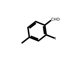 Cc1ccc([C]=O)c(I)c1